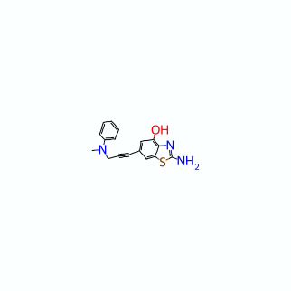 CN(CC#Cc1cc(O)c2nc(N)sc2c1)c1ccccc1